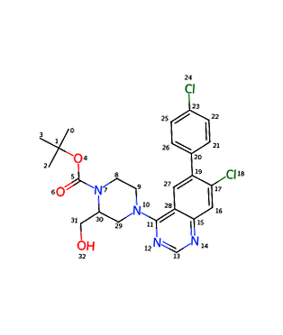 CC(C)(C)OC(=O)N1CCN(c2ncnc3cc(Cl)c(-c4ccc(Cl)cc4)cc23)CC1CO